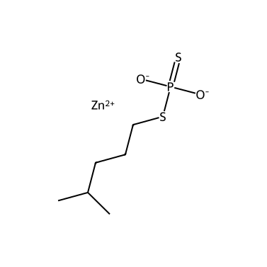 CC(C)CCCSP([O-])([O-])=S.[Zn+2]